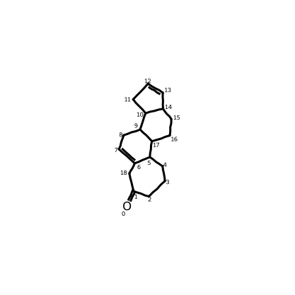 O=C1CCCC2C(=CCC3C4CC=CC4CCC23)C1